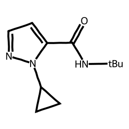 CC(C)(C)NC(=O)c1ccnn1C1CC1